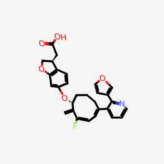 C=C1/C(F)=C\C=C(\c2cccnc2-c2ccoc2)CCC[C@H]1Oc1ccc2c(c1)OC[C@H]2CC(=O)O